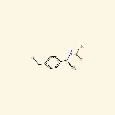 CC(C)Cc1ccc([C@H](C)N[S+]([O-])C(C)(C)C)cc1